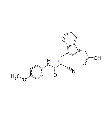 COc1ccc(NC(=O)/C(C#N)=C/c2cn(CC(=O)O)c3ccccc23)cc1